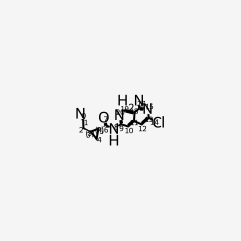 N#CC[C@@H]1C[C@H]1C(=O)Nc1cc2cc(Cl)nc(N)c2cn1